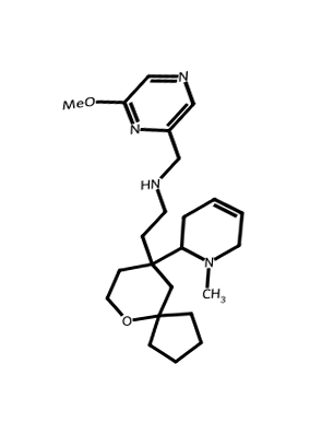 COc1cncc(CNCCC2(C3CC=CCN3C)CCOC3(CCCC3)C2)n1